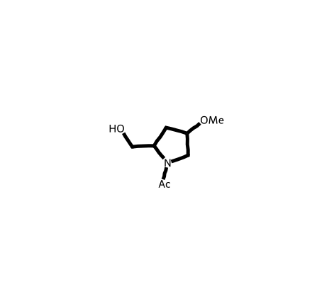 COC1CC(CO)N(C(C)=O)C1